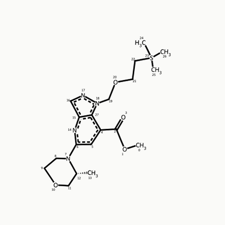 COC(=O)c1cc(N2CCOC[C@H]2C)nc2cnn(COCCS(C)(C)C)c12